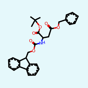 CC(C)(C)OC(=O)C(CC(=O)OCc1ccccc1)NC(=O)OCC1c2ccccc2-c2ccccc21